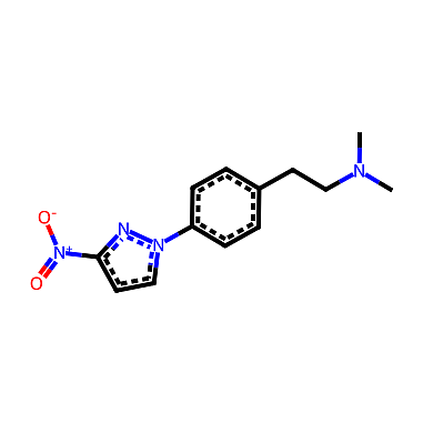 CN(C)CCc1ccc(-n2ccc([N+](=O)[O-])n2)cc1